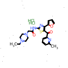 CCN1CCN(CC(=O)Nc2nc(-c3ccco3)c(C(=O)c3cccc(C)n3)s2)CC1.Cl.Cl